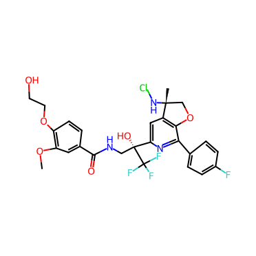 COc1cc(C(=O)NC[C@@](O)(c2cc3c(c(-c4ccc(F)cc4)n2)OC[C@@]3(C)NCl)C(F)(F)F)ccc1OCCO